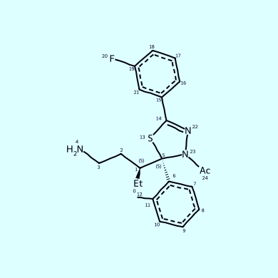 CC[C@@H](CCN)[C@@]1(c2ccccc2C)SC(c2cccc(F)c2)=NN1C(C)=O